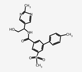 Cc1ccc(-c2cc(C(=O)NC(CO)c3cnc(C)nc3)cc(S(C)(=O)=O)c2)cc1